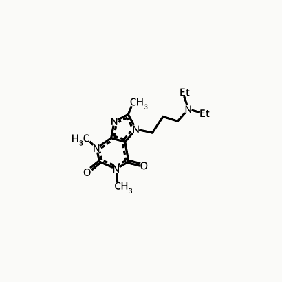 CCN(CC)CCCn1c(C)nc2c1c(=O)n(C)c(=O)n2C